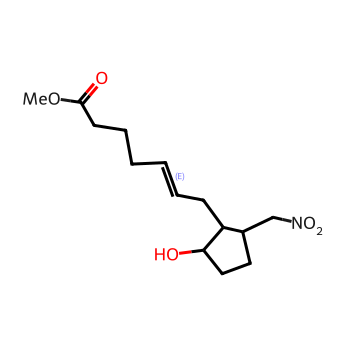 COC(=O)CCC/C=C/CC1C(O)CCC1C[N+](=O)[O-]